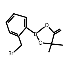 C=C1OB(c2ccccc2CBr)OC1(C)C